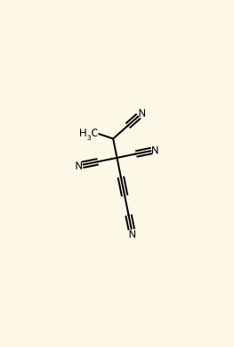 CC(C#N)C(C#N)(C#N)C#CC#N